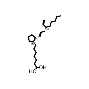 C=C[C@@H](CC=C[C@H]1CCC[C@@H]1CCCCCCC(O)O)CCCCC